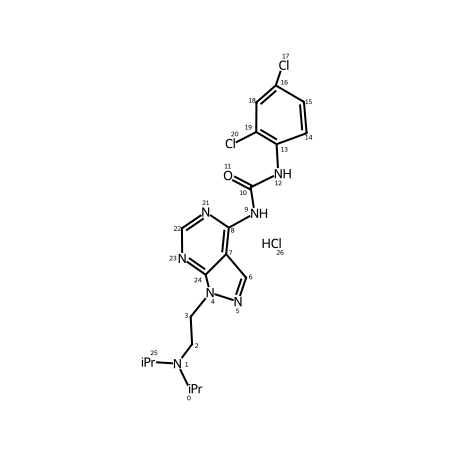 CC(C)N(CCn1ncc2c(NC(=O)Nc3ccc(Cl)cc3Cl)ncnc21)C(C)C.Cl